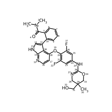 CN(C)C(=O)c1ccccc1-c1c[nH]c2nccc(Oc3c(F)cc(NC4=NCC(C)(CO)CO4)cc3F)c12